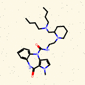 CCCCN(CCCC)CC1CCCCN1CCNC(=O)N1c2ccccc2NC(=O)c2c1ccn2C